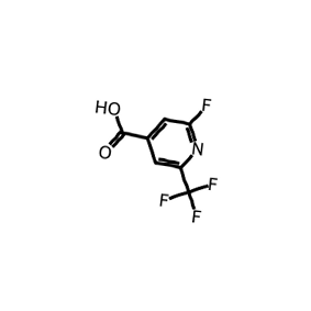 O=C(O)c1cc(F)nc(C(F)(F)F)c1